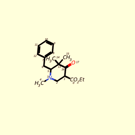 CCOC(=O)C1CN(C)C(Cc2ccccc2)C(C)(C)C1=O